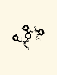 COc1ccccc1C(=O)NCC1(c2ccccc2)CCC(N/C(=N\C#N)NCc2ccccc2)CC1